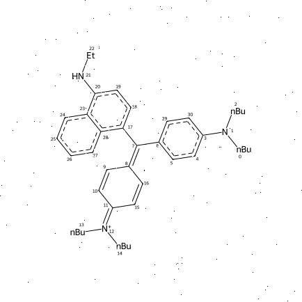 CCCCN(CCCC)c1ccc(C(=C2C=CC(=[N+](CCCC)CCCC)C=C2)c2ccc(NCC)c3ccccc23)cc1